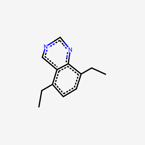 CCc1ccc(CC)c2ncncc12